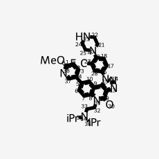 COc1ccc(-c2ccc3c(c2)c2c(nnn2-c2ccc(N4CCNCC4)c(C(F)(F)F)c2)c(=O)n3CCN(C(C)C)C(C)C)cn1